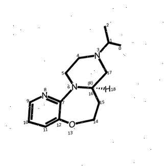 CC(C)N1CCN2c3ncccc3OCC[C@@H]2C1